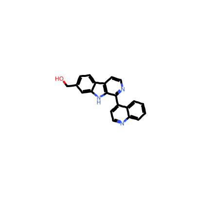 OCc1ccc2c(c1)[nH]c1c(-c3ccnc4ccccc34)nccc12